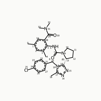 Cc1cc(C)c(NC(=O)N2CCC[C@@H]2c2nnc(C)n2Cc2ccc(Cl)cc2)c(C(=O)N(C)C)c1